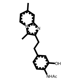 CC(=O)Nc1ccc(CCc2nc3cc(C)ccn3c2C)cc1O